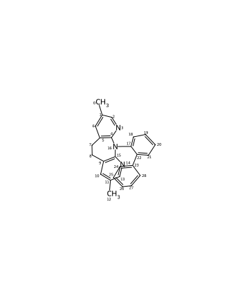 Cc1cnc2c(c1)CCc1cc(C)cnc1N2c1ccccc1-c1ccccc1